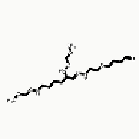 COCONCCCCC(CONCCOCCCC=O)NOCOC